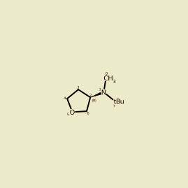 CN([C@@H]1CCOC1)C(C)(C)C